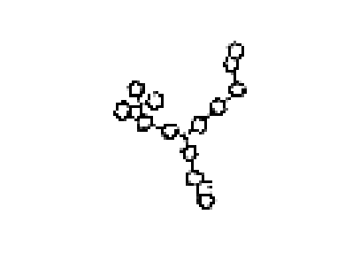 C1=CC2c3ccccc3OC2C=C1c1ccc(N(c2ccc(-c3ccc(-c4cccc(-c5ccc6ccccc6c5)c4)cc3)cc2)c2ccc(-c3ccc4c(c3)C(c3ccccc3)(c3ccccc3)c3ccccc3-4)cc2)cc1